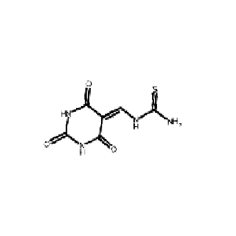 NC(=S)NC=C1C(=O)NC(=O)NC1=O